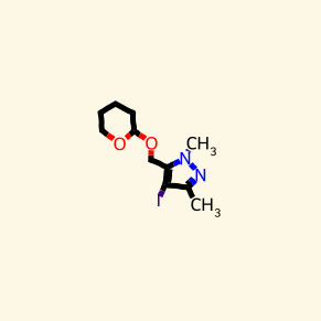 Cc1nn(C)c(COC2CCCCO2)c1I